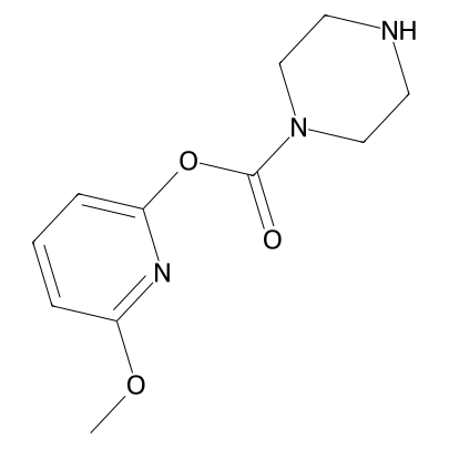 COc1cccc(OC(=O)N2CCNCC2)n1